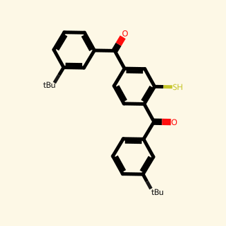 CC(C)(C)c1cccc(C(=O)c2ccc(C(=O)c3cccc(C(C)(C)C)c3)c(S)c2)c1